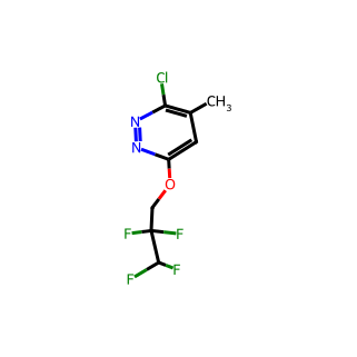 Cc1cc(OCC(F)(F)C(F)F)nnc1Cl